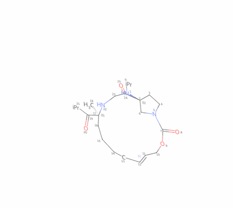 CC(C)N[C@@]12CCN(C1)C(=O)OC/C=C/CCCC[C@@](C)(C(=O)C(C)C)NCC2=O